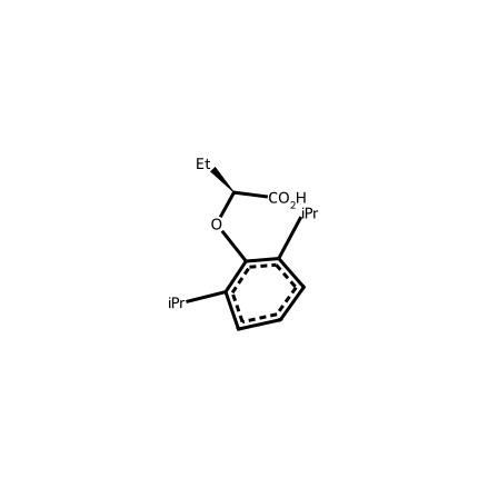 CC[C@H](Oc1c(C(C)C)cccc1C(C)C)C(=O)O